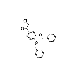 O=C(CCl)c1cc(OCc2ccccc2)c(OCc2ccccc2)cn1